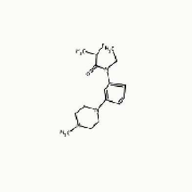 CCN(C(=O)C(C)F)c1cccc(N2CCN(C)CC2)c1